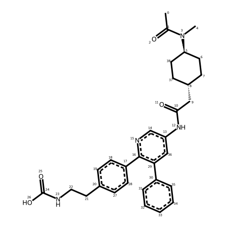 CC(=O)N(C)[C@H]1CC[C@H](CC(=O)Nc2cnc(-c3ccc(CCNC(=O)O)cc3)c(-c3ccccc3)c2)CC1